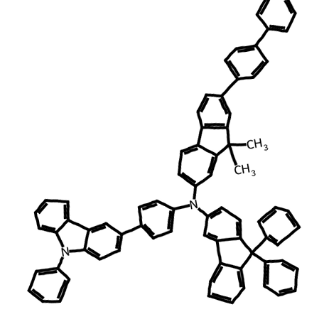 CC1(C)c2cc(-c3ccc(-c4ccccc4)cc3)ccc2-c2ccc(N(c3ccc(-c4ccc5c(c4)c4ccccc4n5-c4ccccc4)cc3)c3ccc4c(c3)-c3ccccc3C4(c3ccccc3)c3ccccc3)cc21